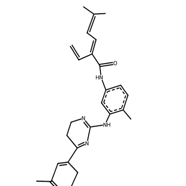 C=C/C(=C\C=C(C)C)C(=O)Nc1ccc(C)c(NC2=NCCC(/C(=C/C(=C)C)CC)=N2)c1